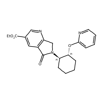 CCOC(=O)c1cnc2c(c1)C(=O)N([C@@H]1CCCC[C@H]1Oc1ccccn1)C2